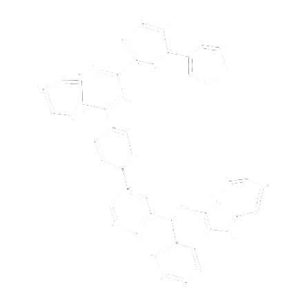 c1ccc(-c2cccc(-c3nc(-c4ccc(-c5cccc(-c6nc7c(nc8ccccn87)c7ccccc67)c5)cc4)c4ccccc4n3)c2)cc1